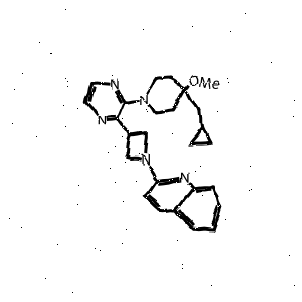 COC1(CC2CC2)CCN(c2nccnc2C2CN(c3ccc4ccccc4n3)C2)CC1